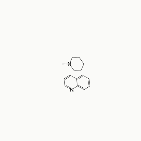 CN1CCCCC1.c1ccc2ncccc2c1